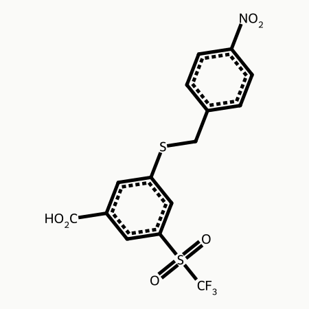 O=C(O)c1cc(SCc2ccc([N+](=O)[O-])cc2)cc(S(=O)(=O)C(F)(F)F)c1